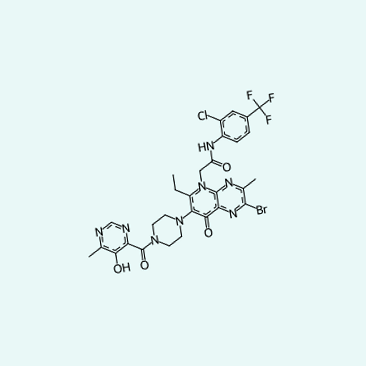 CCc1c(N2CCN(C(=O)c3ncnc(C)c3O)CC2)c(=O)c2nc(Br)c(C)nc2n1CC(=O)Nc1ccc(C(F)(F)F)cc1Cl